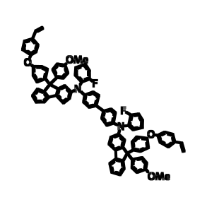 C=Cc1ccc(Oc2ccc(C3(c4ccc(OC)cc4)c4ccccc4-c4ccc(N(c5ccc(-c6ccc(N(c7ccc8c(c7)C(c7ccc(OC)cc7)(c7ccc(Oc9ccc(C=C)cc9)cc7)c7ccccc7-8)c7ccccc7F)cc6)cc5)c5ccccc5F)cc43)cc2)cc1